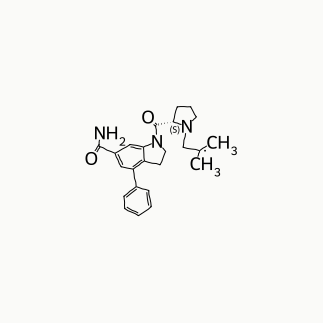 C[C](C)CN1CCC[C@H]1C(=O)N1CCc2c(-c3ccccc3)cc(C(N)=O)cc21